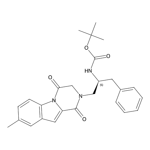 Cc1ccc2c(c1)cc1n2C(=O)CN(C[C@H](Cc2ccccc2)NC(=O)OC(C)(C)C)C1=O